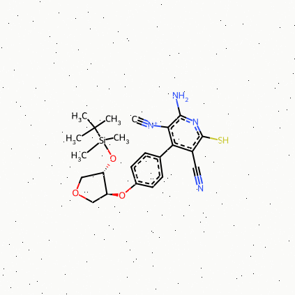 [C-]#[N+]c1c(N)nc(S)c(C#N)c1-c1ccc(O[C@H]2COC[C@@H]2O[Si](C)(C)C(C)(C)C)cc1